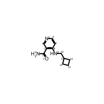 NC(=O)c1cnccc1NCC1CCC1